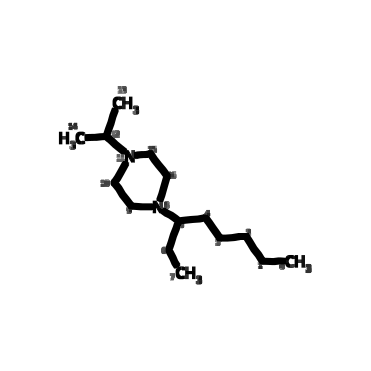 CCCCCC(CC)N1CCN(C(C)C)CC1